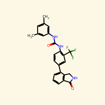 Cc1cc(C)cc(NC(=O)Nc2ccc(-c3cccc4c3CNC4=O)cc2C(F)(F)F)c1